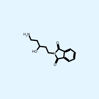 NCCC(O)CCN1C(=O)c2ccccc2C1=O